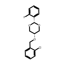 Fc1ccccc1[C@H]1OC[C@@H](OCc2ccccc2Cl)CO1